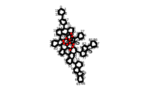 c1ccc(-c2ccc(-c3c4cccc(-c5c6ccccc6cc6sc7ccccc7c56)c4cc4c(-c5c6ccccc6c(-c6cccc(-c7c8cccc(-c9cccc%10c9ccc9c%11ccccc%11sc%109)c8cc8c(-c9cccc%10c9ccc9c%11ccccc%11sc%109)cccc78)c6-c6ccccc6)c6sc7ccccc7c56)cccc34)cc2)cc1